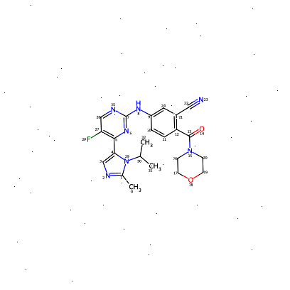 Cc1ncc(-c2nc(Nc3ccc(C(=O)N4CCOCC4)c(C#N)c3)ncc2F)n1C(C)C